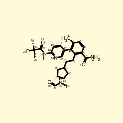 Cc1ccc(C(N)=O)c(CCC2CCCC2)c1-c1ccc(NC(=O)C(F)(F)F)nc1.O=CNI